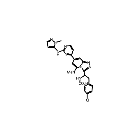 CNc1cc(-c2ccnc(Nc3ccnn3C)n2)cc2nnc(C(Cc3ccc(Cl)cc3)NC(=O)O)n12